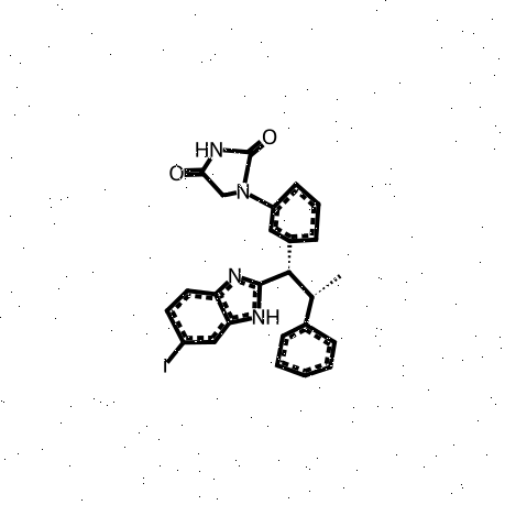 C[C@H](c1ccccc1)[C@@H](c1cccc(N2CC(=O)NC2=O)c1)c1nc2ccc(I)cc2[nH]1